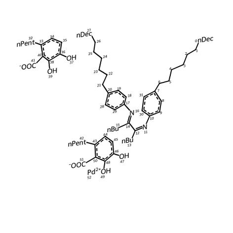 CCCCCCCCCCCCCCCCc1ccc(N=C(CCCC)C(CCCC)=Nc2ccc(CCCCCCCCCCCCCCCC)cc2)cc1.CCCCCc1ccc(O)c(O)c1C(=O)[O-].CCCCCc1ccc(O)c(O)c1C(=O)[O-].[Pd+2]